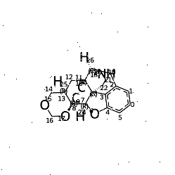 c1cc2c3c(c1)O[C@H]1[C@@]45CC[C@@]6(C[C@@H]4COCO5)[C@@H](C2)NCC[C@]316